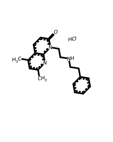 Cc1cc(C)c2ccc(=O)n(CCNCCc3ccccc3)c2n1.Cl